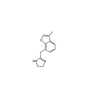 Cc1coc2c(CC3=NCCN3)cccc12